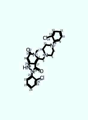 Cn1c(CN2CCN(c3ccccc3Cl)CC2)c2c(=O)n(-c3ccccc3Cl)[nH]c2cc1=O